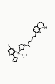 O=C(O)[C@@H](c1cc(F)cnc1C1CCC1)N1CC[C@@H](C(F)CCCCc2ccc3c(n2)NCCC3)C1